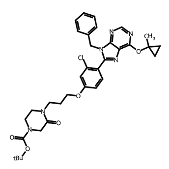 CC(C)(C)OC(=O)N1CCN(CCCOc2ccc(-c3nc4c(OC5(C)CC5)ncnc4n3Cc3ccccc3)c(Cl)c2)C(=O)C1